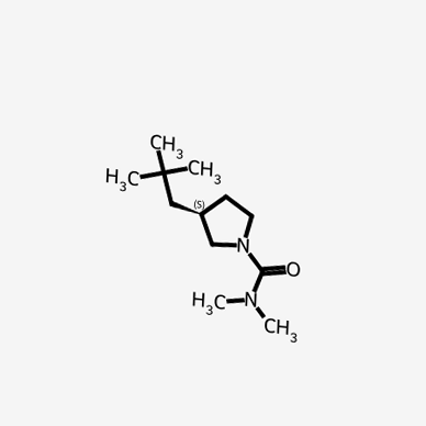 CN(C)C(=O)N1CC[C@H](CC(C)(C)C)C1